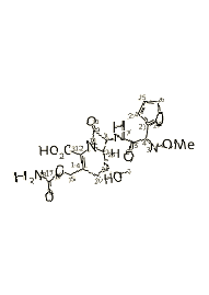 CO.CO/N=C(/C(=O)N[C@@H]1C(=O)N2C(C(=O)O)=C(COC(N)=O)CS[C@H]12)c1ccco1